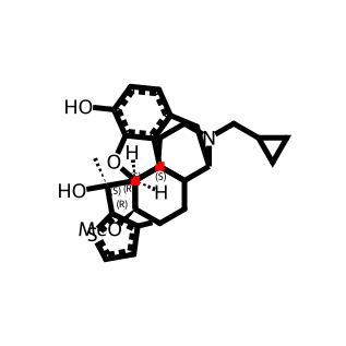 CO[C@]12CCC3(C[C@@H]1[C@](C)(O)c1sccc1C)C1Cc4ccc(O)c5c4[C@@]3(CCN1CC1CC1)[C@@H]2O5